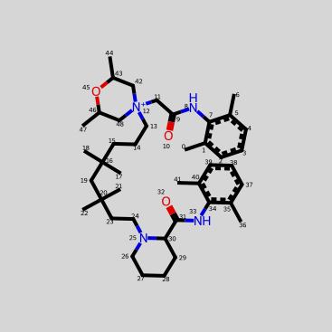 Cc1cccc(C)c1NC(=O)C[N+]1(CCCC(C)(C)CC(C)(C)CCN2CCCCC2C(=O)Nc2c(C)cccc2C)CC(C)OC(C)C1